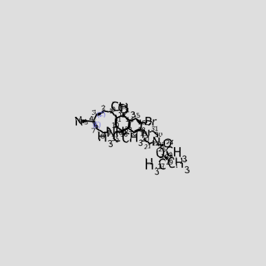 CC1/C=C\C(C#N)=C/CNC2=C1C(=O)c1cc(Br)c(N3CCN(C(=O)OC(C)(C)C)CC3)cc1C2(C)C